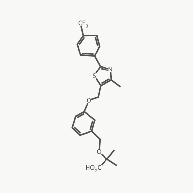 Cc1nc(-c2ccc(C(F)(F)F)cc2)sc1COc1cccc(COC(C)(C)C(=O)O)c1